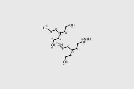 OCCN(CCO)CCO.OCCN(CCO)CCO.[NaH]